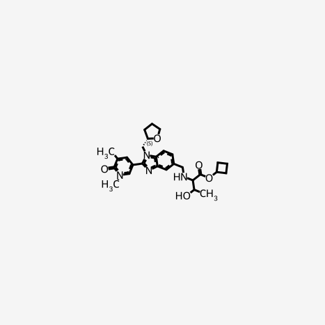 Cc1cc(-c2nc3cc(CNC(C(=O)OC4CCC4)C(C)O)ccc3n2C[C@@H]2CCCO2)cn(C)c1=O